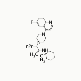 C=C(NC1(C)CCCCC1)C(CCC)N1CCN(c2ccnc3c2C=C(F)CC3)CC1